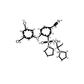 CC(O)([C@@H]1CCCN1S(=O)(=O)c1cc(C#N)ccc1Oc1cc(Cl)cc(Cl)c1)N1CCCC1